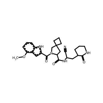 COc1cccc2[nH]c(C(=O)N3CC4(CCC4)CC3C(=O)NC(C#N)CC3CCCNC3=O)cc12